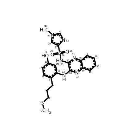 CSCCCc1ccc(O)cc1Nc1nc2ccccc2nc1NS(=O)(=O)c1cn(C)cn1